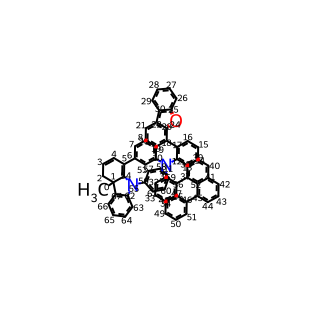 CC12CC=CC(c3cccc(N(c4ccccc4-c4cccc5c4oc4ccccc45)c4ccccc4-c4cccc5cccc(-c6ccccc6)c45)c3)=C1N(c1ccccc1)c1ccccc12